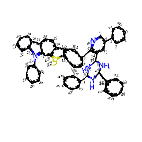 c1ccc(-c2cnc(-c3ccc4sc5c(ccc6c7ccccc7n(-c7ccccc7)c65)c4c3)c(C3NC(c4ccccc4)NC(c4ccccc4)N3)c2)cc1